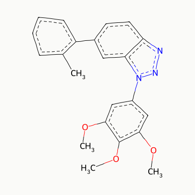 COc1cc(-n2nnc3ccc(-c4ccccc4C)cc32)cc(OC)c1OC